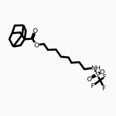 O=C(OCCCCCCCCNS(=O)(=O)C(F)(F)F)C12CC3CC(CC(C3)C1)C2